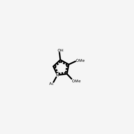 COc1c(O)cn(C(C)=O)c1OC